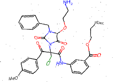 CCCCCCCCCCCCOC(=O)c1cccc(NC(=O)C(Cl)(C(=O)c2ccc(OC)cc2)N2C(=O)C(OCCN)N(Cc3ccccc3)C2=O)c1